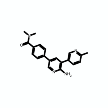 Cc1ccc(-c2cc(-c3ccc(C(=O)N(C)C)cc3)cnc2N)cn1